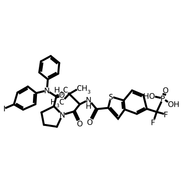 CC(C)(C)C(NC(=O)c1cc2cc(C(F)(F)P(=O)(O)O)ccc2s1)C(=O)N1CCCC1C(=O)N(c1ccccc1)c1ccc(I)cc1